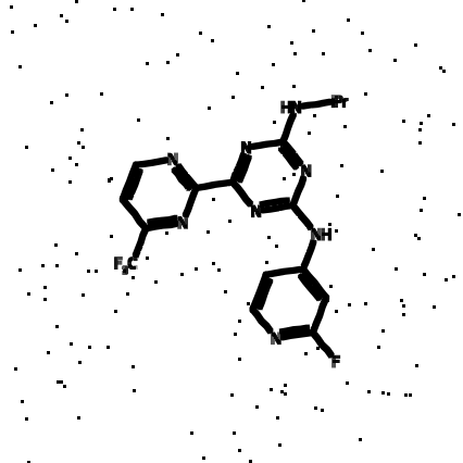 CC(C)Nc1nc(Nc2ccnc(F)c2)nc(-c2nccc(C(F)(F)F)n2)n1